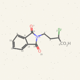 O=C(O)C(Br)CCN1C(=O)c2ccccc2C1=O